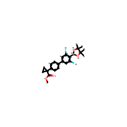 COC(=O)C1(c2ccc(-c3cc(F)c(B4OC(C)(C)C(C)(C)O4)c(F)c3)cc2)CC1